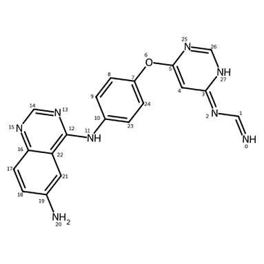 N=C/N=c1/cc(Oc2ccc(Nc3ncnc4ccc(N)cc34)cc2)nc[nH]1